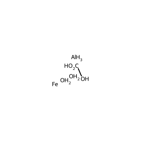 O.O.O=C(O)O.[AlH3].[Fe]